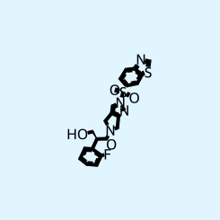 O=C([C@H](CO)c1ccccc1F)N1Cc2cn(S(=O)(=O)c3ccc4ncsc4c3)nc2C1